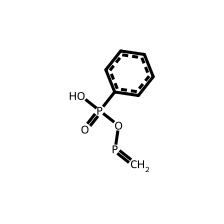 C=POP(=O)(O)c1ccccc1